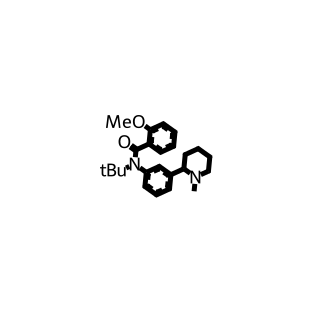 COc1ccccc1C(=O)N(c1cccc(C2CCCCN2C)c1)C(C)(C)C